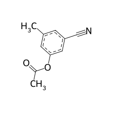 CC(=O)Oc1cc(C)cc(C#N)c1